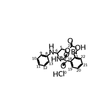 Cl.O=C(O)OCC(Nc1ccccc1)NS(=O)(=O)c1ccccc1Br